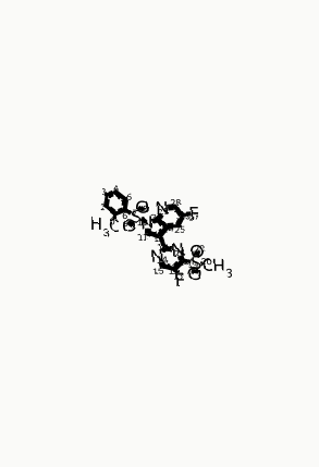 Cc1ccccc1S(=O)(=O)n1cc(-c2ncc(F)c(S(C)(=O)=O)n2)c2cc(F)cnc21